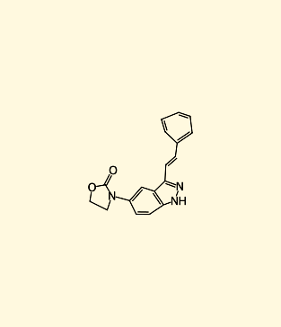 O=C1OCCN1c1ccc2[nH]nc(/C=C/c3ccccc3)c2c1